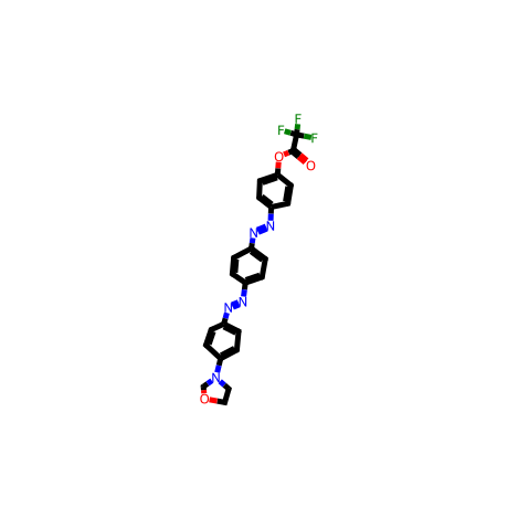 O=C(Oc1ccc(N=Nc2ccc(N=Nc3ccc(N4CCOC4)cc3)cc2)cc1)C(F)(F)F